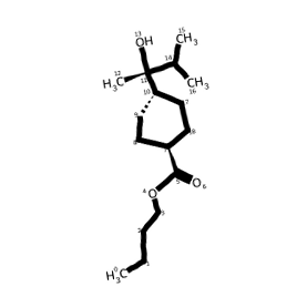 CCCCOC(=O)[C@H]1CC[C@H]([C@](C)(O)C(C)C)CC1